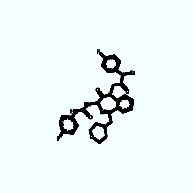 CCN(C(=O)CN1C(=O)C(NC(=O)Nc2ccc(F)cc2)N=C(CN2CCOCC2)c2ccccc21)c1ccc(F)cc1